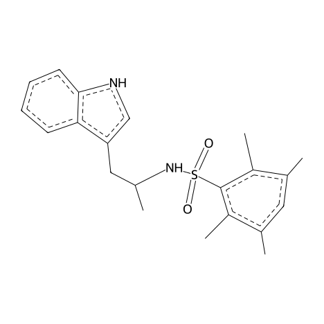 Cc1cc(C)c(C)c(S(=O)(=O)NC(C)Cc2c[nH]c3ccccc23)c1C